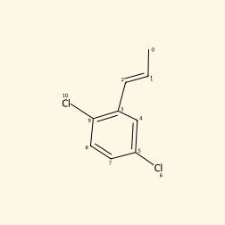 C[C]=Cc1cc(Cl)ccc1Cl